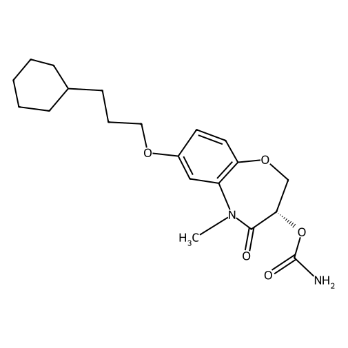 CN1C(=O)[C@@H](OC(N)=O)COc2ccc(OCCCC3CCCCC3)cc21